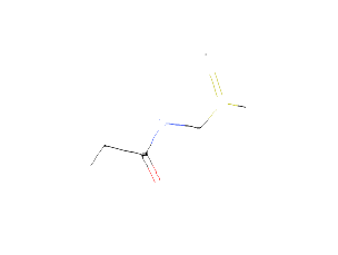 CCC(=O)NCS(C)=S